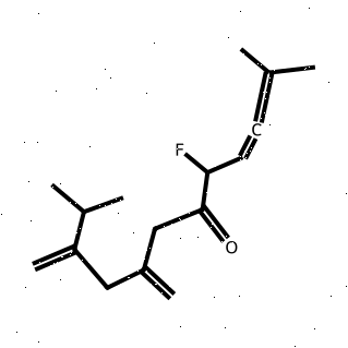 C=C(CC(=C)C(C)C)CC(=O)C(F)C=C=C(C)C